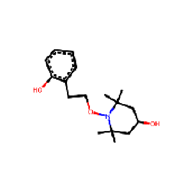 CC1(C)CC(O)CC(C)(C)N1OCCc1ccccc1O